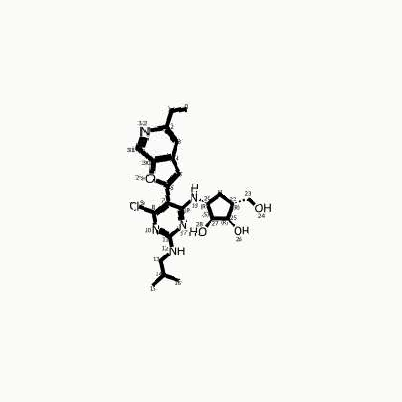 CCc1cc2cc(-c3c(Cl)nc(NCC(C)C)nc3N[C@@H]3C[C@H](CO)[C@@H](O)[C@H]3O)oc2cn1